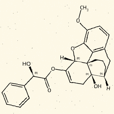 COc1ccc2c3c1O[C@H]1C(OC(=O)[C@H](O)c4ccccc4)=CC[C@@]4(O)[C@H](CCC[C@]314)C2